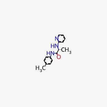 Cc1ccc(NC(=O)[C@@H](C)Nc2ccccn2)cc1